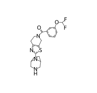 O=C(c1cccc(OC(F)F)c1)N1CCc2nc(N3C4CCC3CNC4)sc2C1